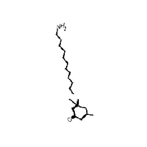 CC1=CC(=O)CC(C)(C)C1.CCCCCCCCCCCCN